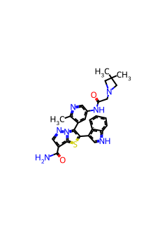 Cc1ncc(NC(=O)CN2CC(C)(C)C2)cc1-c1c(-c2c[nH]c3ccccc23)sc2c(C(N)=O)cnn12